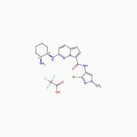 Cn1cc(NC(=O)c2ccc3ccc(N[C@@H]4CCCC[C@@H]4N)nn23)c(Br)n1.O=C(O)C(F)(F)F